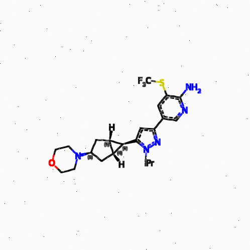 CC(C)n1nc(-c2cnc(N)c(SC(F)(F)F)c2)cc1[C@H]1[C@@H]2C[C@@H](N3CCOCC3)C[C@@H]21